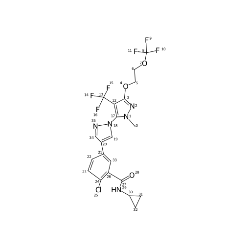 Cn1nc(OCCOC(F)(F)F)c(C(F)(F)F)c1-n1cc(-c2ccc(Cl)c(C(=O)NC3CC3)c2)cn1